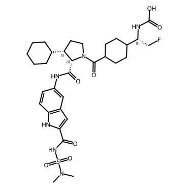 CN(C)S(=O)(=O)NC(=O)c1cc2cc(NC(=O)[C@@H]3[C@H](C4CCCCC4)CCN3C(=O)C3CCC([C@@H](CF)NC(=O)O)CC3)ccc2[nH]1